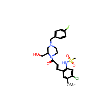 COc1cc(C=CC(=O)N2CCN(Cc3ccc(F)cc3)CC2CO)c(NS(C)(=O)=O)cc1Cl